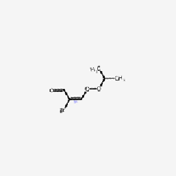 CC(C)OO/C=C(/Br)C=O